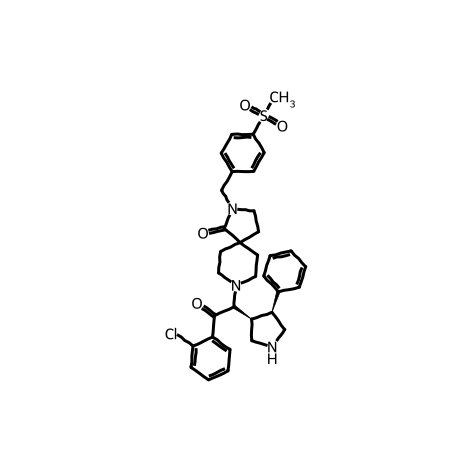 CS(=O)(=O)c1ccc(CN2CCC3(CCN(C(C(=O)c4ccccc4Cl)[C@@H]4CNC[C@@H]4c4ccccc4)CC3)C2=O)cc1